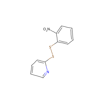 O=[N+]([O-])c1ccccc1SSc1ccccn1